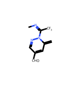 C=C1C=C(C=O)C=NN1/C(=N\C)C(F)(F)F